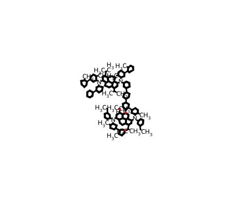 CCc1cccc(N(c2cc(-c3ccccc3C)ccc2C)c2cc(C(C)C)c3ccc4c(N(c5cccc(CC)c5)c5cc(-c6cc(-c7ccc(-c8cccc(N(c9cc(-c%10ccccc%10C)ccc9C)c9cc(C(C)C)c%10ccc%11c(N(c%12cccc(-c%13ccccc%13)c%12)c%12cc(-c%13ccccc%13C)ccc%12C)cc(C(C)C)c%12ccc9c%10c%12%11)c8)cc7)ccc6C)ccc5C)cc(C(C)C)c5ccc2c3c54)c1